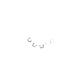 CCC1(CC)COC(c2ccc(-c3ccc(-c4ccc(Br)s4)s3)s2)OC1